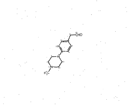 CN1CCN(c2ccc(CC=O)cn2)CC1